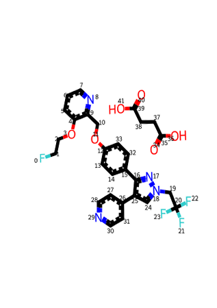 FCCOc1cccnc1COc1ccc(-c2nn(CC(F)(F)F)cc2-c2ccncc2)cc1.O=C(O)CCC(=O)O